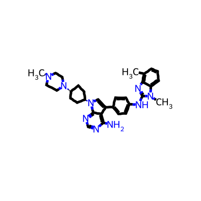 Cc1cccc2c1nc(Nc1ccc(-c3cn([C@H]4CC[C@@H](N5CCN(C)CC5)CC4)c4ncnc(N)c34)cc1)n2C